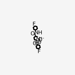 O=C(Nc1ccc(F)cc1)c1ccc(S(=O)(=O)c2ccc(F)cc2)[n+]([O-])c1